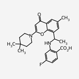 Cc1cc(C(C)Nc2cc(F)ccc2C(=O)O)c2oc(N3CCC(C)(C)CC3)cc(=O)c2c1